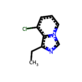 CCc1ncn2cccc(Cl)c12